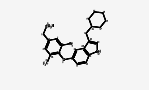 O=C(O)Cc1cc(Br)c(Oc2ccc3[nH]cc(CC4CCCCC4)c3c2)c(C(F)(F)F)c1